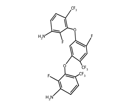 Nc1ccc(C(F)(F)F)c(Oc2cc(Oc3c(C(F)(F)F)ccc(N)c3F)c(C(F)(F)F)cc2F)c1F